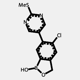 CSc1ncc(-c2cc3c(cc2Cl)COB3O)cn1